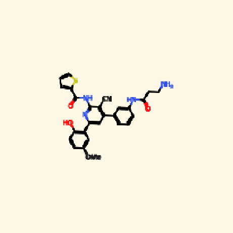 COc1ccc(O)c(-c2cc(-c3cccc(NC(=O)CCN)c3)c(C#N)c(NC(=O)c3cccs3)n2)c1